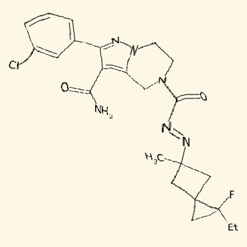 CCC1(F)CC12CC(C)(N=NC(=O)N1CCn3nc(-c4cccc(Cl)c4)c(C(N)=O)c3C1)C2